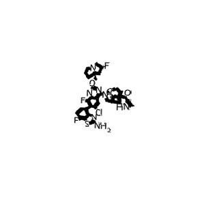 Nc1nc2c(-c3c(Cl)cc4c(N5CC6CC7C(C5)CC7(C(=O)[C@H]5CN5)C6)nc(OC[C@@]56CCCN5C[C@H](F)C6)nc4c3F)ccc(F)c2s1